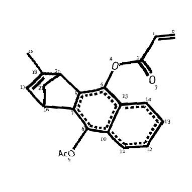 C=CC(=O)Oc1c2c(c(OC(C)=O)c3ccccc13)C1C=C(C)C2C1